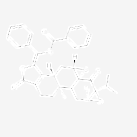 CC(C)[C@]12O[C@H]1CC1[C@]3(O[C@H]3C[C@H]3C4=C(CC[C@]13C)C(=O)O/C4=C(/OC(=O)c1ccccc1)c1ccccc1)C2=O